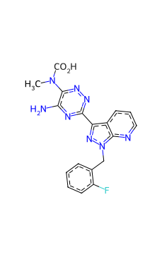 CN(C(=O)O)c1nnc(-c2nn(Cc3ccccc3F)c3ncccc23)nc1N